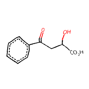 O=C(CC(O)C(=O)O)c1ccccc1